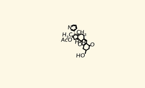 CC(=O)OC1(C)C[C@H]2[C@@H]3OC4=C(C=C3CC[C@]2(C)[C@H]1c1cccnc1)C(=O)CC(CO)C4